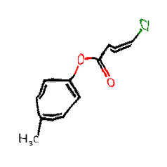 Cc1ccc(OC(=O)C=CCl)cc1